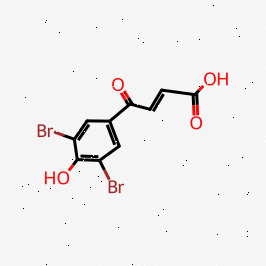 O=C(O)C=CC(=O)c1cc(Br)c(O)c(Br)c1